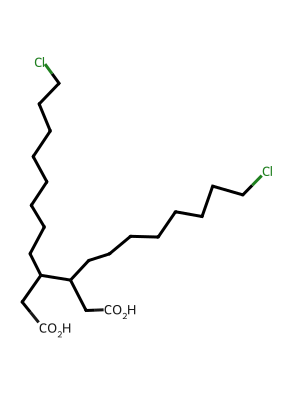 O=C(O)CC(CCCCCCCCCl)C(CCCCCCCCCl)CC(=O)O